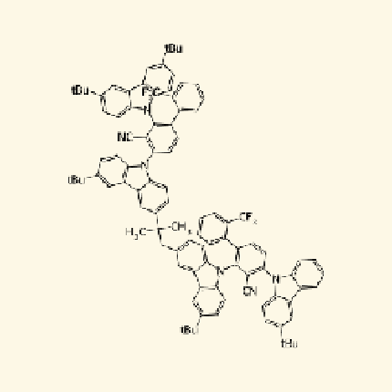 CC(C)(C)c1ccc2c(c1)c1ccccc1n2-c1ccc(-c2ccccc2C(F)(F)F)c(-n2c3ccc(CC(C)(C)c4ccc5c(c4)c4cc(C(C)(C)C)ccc4n5-c4ccc(-c5ccccc5C(F)(F)F)c(-n5c6ccc(C(C)(C)C)cc6c6cc(C(C)(C)C)ccc65)c4C#N)cc3c3cc(C(C)(C)C)ccc32)c1C#N